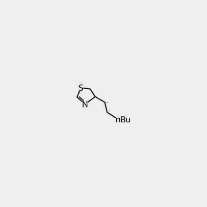 CCCCC[CH]C1CSC=N1